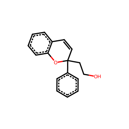 OCCC1(c2ccccc2)C=Cc2ccccc2O1